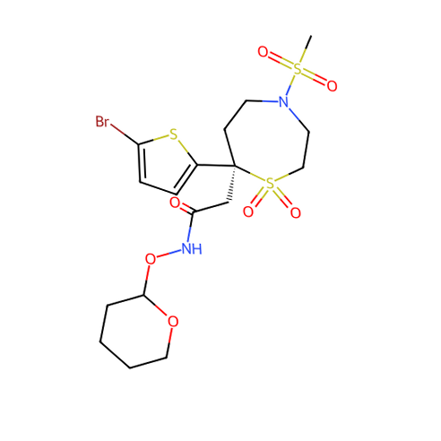 CS(=O)(=O)N1CC[C@](CC(=O)NOC2CCCCO2)(c2ccc(Br)s2)S(=O)(=O)CC1